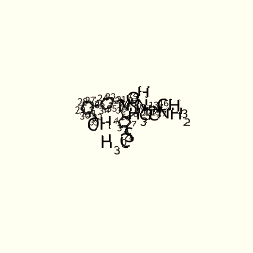 CSc1ccc2c(c1)C[C@@H](NC(=O)CC(C)(C)N)C(=O)N(Cc1ccc(-c3ccccc3CO)cc1)C2